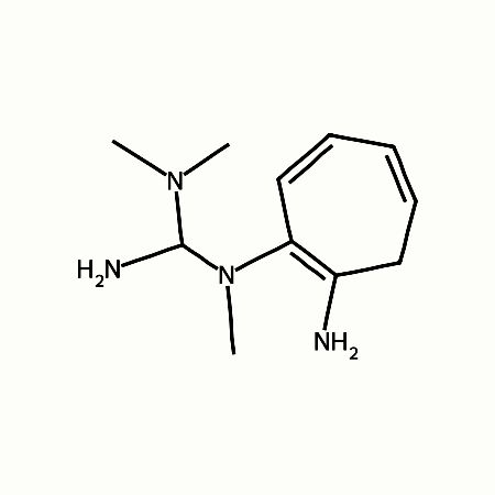 CN(C)C(N)N(C)C1=C(N)CC=CC=C1